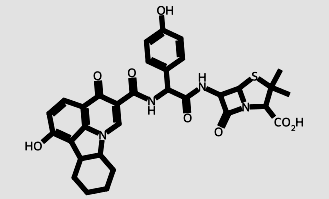 CC1(C)SC2C(NC(=O)C(NC(=O)c3cn4c5c(c(O)ccc5c3=O)C3CCCCC34)c3ccc(O)cc3)C(=O)N2C1C(=O)O